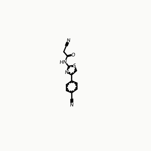 N#CCC(=O)Nc1nc(-c2ccc(C#N)cc2)cs1